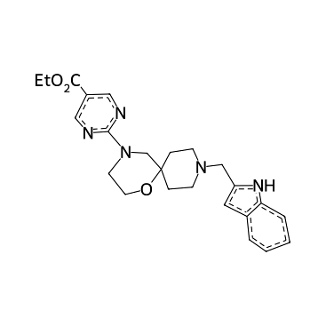 CCOC(=O)c1cnc(N2CCOC3(CCN(Cc4cc5ccccc5[nH]4)CC3)C2)nc1